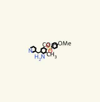 COc1ccc(S(=O)(=O)c2c(C(=O)O)cc(Cc3cccnc3)c(N)c2C)cc1